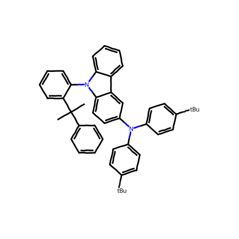 CC(C)(C)c1ccc(N(c2ccc(C(C)(C)C)cc2)c2ccc3c(c2)c2ccccc2n3-c2ccccc2C(C)(C)c2ccccc2)cc1